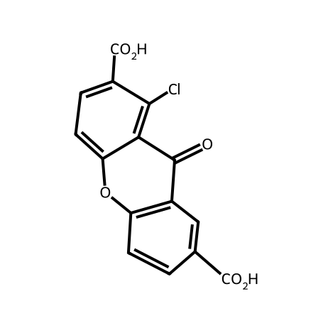 O=C(O)c1ccc2oc3ccc(C(=O)O)c(Cl)c3c(=O)c2c1